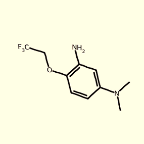 CN(C)c1ccc(OCC(F)(F)F)c(N)c1